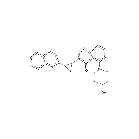 O=c1c2c(N3CCC(O)CC3)cccc2ccn1C1CC1c1ccc2ccccc2n1